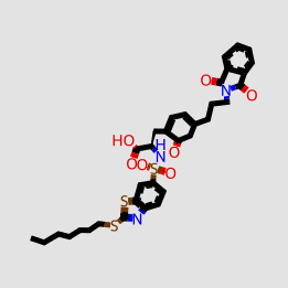 CCCCCCCSc1nc2ccc(S(=O)(=O)N[C@H](CC3=CC=C(CCCN4C(=O)c5ccccc5C4=O)CC3=O)C(=O)O)cc2s1